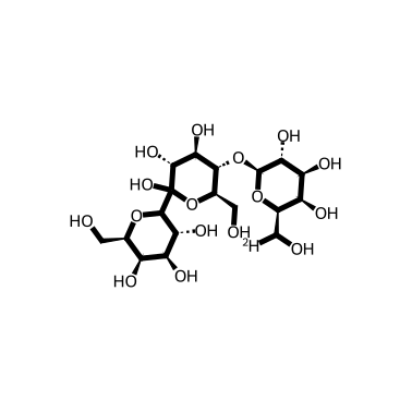 [2H]C(O)[C@H]1O[C@@H](O[C@H]2[C@H](O)[C@@H](O)C(O)(C3O[C@H](CO)[C@H](O)[C@H](O)[C@H]3O)O[C@@H]2CO)[C@H](O)[C@@H](O)[C@H]1O